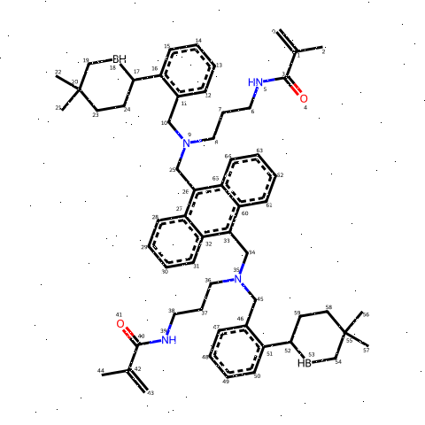 C=C(C)C(=O)NCCCN(Cc1ccccc1C1BCC(C)(C)CC1)Cc1c2ccccc2c(CN(CCCNC(=O)C(=C)C)Cc2ccccc2C2BCC(C)(C)CC2)c2ccccc12